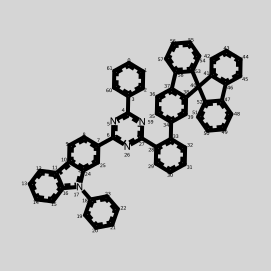 c1ccc(-c2nc(-c3ccc4c5ccccc5n(-c5ccccc5)c4c3)nc(-c3ccccc3-c3ccc4c(c3)C3(c5ccccc5-c5ccccc53)c3ccccc3-4)n2)cc1